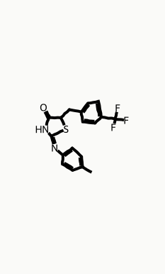 Cc1ccc(/N=C2/NC(=O)C(Cc3ccc(C(F)(F)F)cc3)S2)cc1